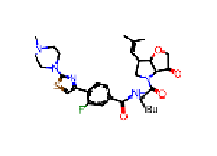 CCC(C)C(NC(=O)c1ccc(-c2csc(N3CCN(C)CC3)n2)c(F)c1)C(=O)N1CC(C=C(C)C)C2OCC(=O)C21